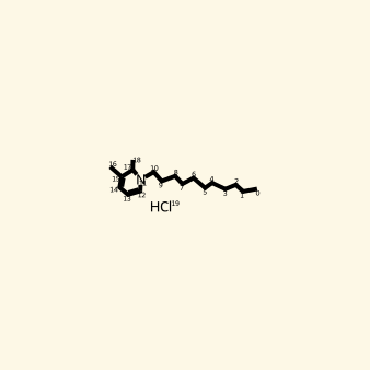 CCCCCCCCCCCN1C=CC=C(C)C1C.Cl